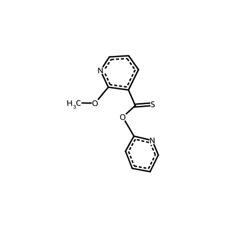 COc1ncccc1C(=S)Oc1ccccn1